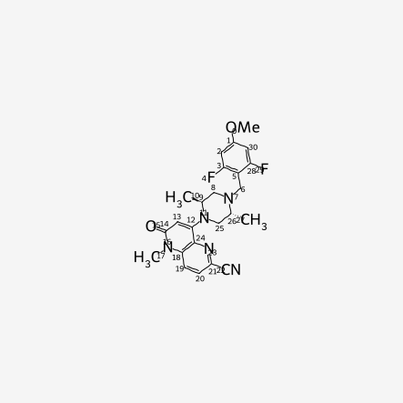 COc1cc(F)c(CN2C[C@H](C)N(c3cc(=O)n(C)c4ccc(C#N)nc34)C[C@H]2C)c(F)c1